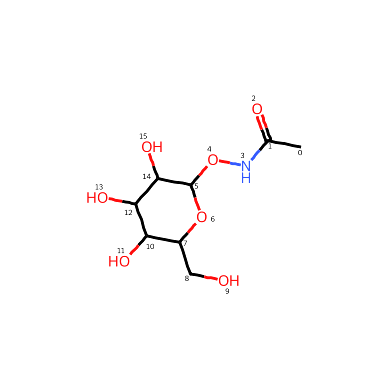 CC(=O)NOC1OC(CO)C(O)C(O)C1O